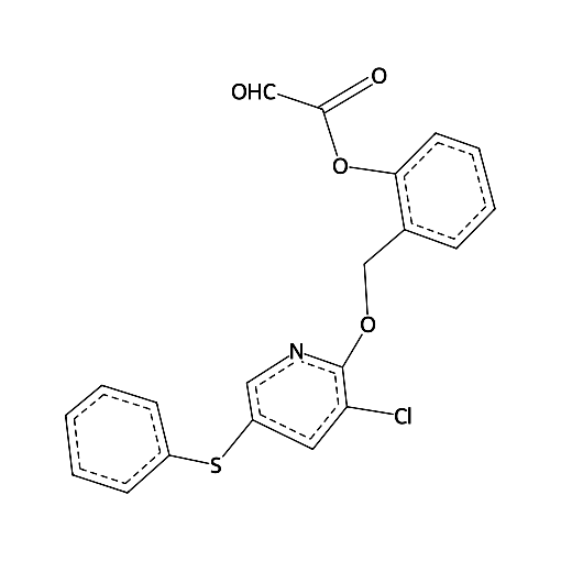 O=CC(=O)Oc1ccccc1COc1ncc(Sc2ccccc2)cc1Cl